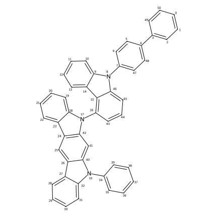 c1ccc(-c2ccc(-n3c4ccccc4c4c(-n5c6ccccc6c6cc7c8ccccc8n(-c8ccccc8)c7cc65)cccc43)cc2)cc1